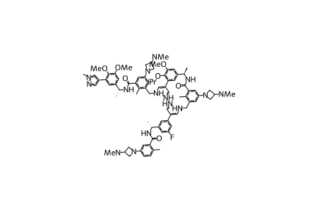 CNC1CN(c2ccc(C)c(C(=O)N[C@H](C)c3cc(F)cc(/C(C=N)=C/NCc4cc(N5CC(NC)C5)cc(C(=O)N[C@H](C)c5cc(OC)c(OC(C)C)c(/C(C=N)=C/NCc6cc(N7CC(NC)C7)cc(C(=O)N[C@H](C)c7cc(OC)c(OC)c(-c8cnn(C)c8)c7)c6C)c5)c4C)c3)c2)C1